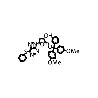 COc1ccc(C(OC[C@H]2O[C@@H](n3cnc4c(Sc5ccccc5)ncnc43)C[C@@H]2O)(c2ccccc2)c2ccc(OC)cc2)cc1